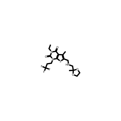 CCn1c(=O)c2c(C)c(CNCC3(C)OCCO3)sc2n(CCC(F)(F)F)c1=O